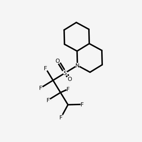 O=S(=O)(N1CCCC2CCCCC21)C(F)(F)C(F)(F)C(F)F